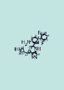 Nc1ccc(-c2c(F)cccc2F)nc1C(=O)Nc1cnsc1OCC1CNC1